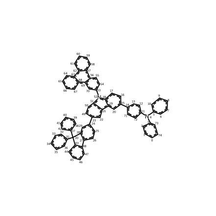 c1ccc(N(c2ccccc2)c2ccc(-c3ccc4c(c3)c3cc(-c5ccc6c(c5)C(c5ccccc5)(c5ccccc5)c5ccccc5-6)ccc3n4-c3ccc4c5ccccc5c5ccccc5c4c3)cc2)cc1